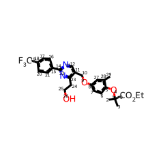 CCOC(=O)C(C)(C)Oc1ccc(OCc2cnc(-c3ccc(C(F)(F)F)cc3)nc2CCO)cc1C